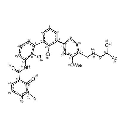 COc1nc(-c2cccc(-c3cccc(NC(=O)c4ccnn(C)c4=O)c3Cl)c2Cl)ccc1CNCC(O)C(C)=O